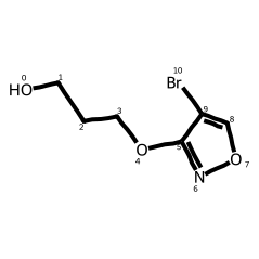 OCCCOc1nocc1Br